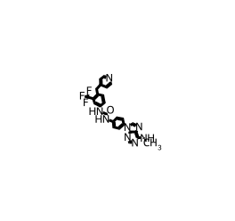 CNc1ncnc2c1ncn2-c1ccc(NC(=O)Nc2ccc(Cc3ccncc3)c(C(F)(F)F)c2)cc1